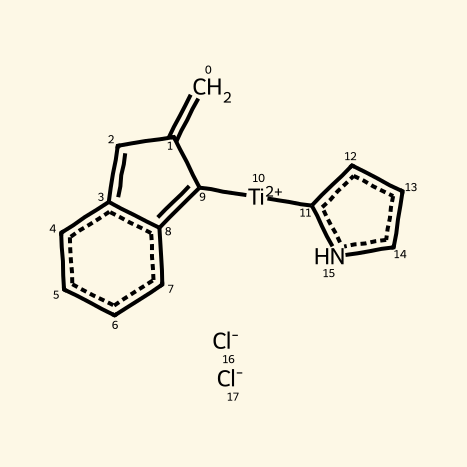 C=C1C=c2ccccc2=[C]1[Ti+2][c]1ccc[nH]1.[Cl-].[Cl-]